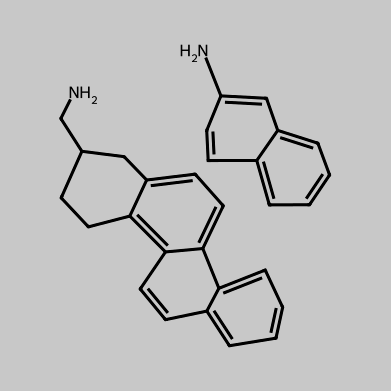 NCC1CCc2c(ccc3c2ccc2ccccc23)C1.Nc1ccc2ccccc2c1